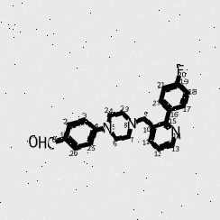 O=[C]c1ccc(N2CCN(Cc3cccnc3-c3ccc(F)cc3)CC2)cc1